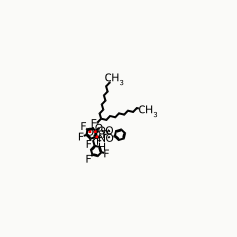 CCCCCCCCCC(CCCCCCCCC)COC(=O)[C@H](Cc1cc(F)cc(F)c1)NP(=O)(Oc1ccccc1)Oc1c(F)c(F)c(F)c(F)c1F